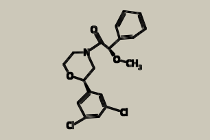 CO[C@@H](C(=O)N1CCO[C@H](c2cc(Cl)cc(Cl)c2)C1)c1ccccc1